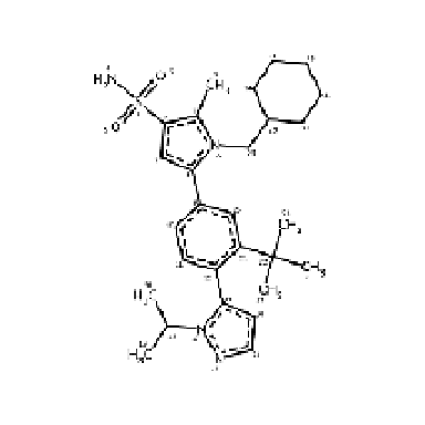 Cc1c(S(N)(=O)=O)cc(-c2ccc(-c3ccnn3C(C)C)c(C(C)(C)C)c2)n1CC1CCCCC1